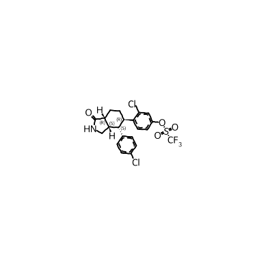 O=C1NC[C@H]2[C@@H](c3ccc(Cl)cc3)[C@H](c3ccc(OS(=O)(=O)C(F)(F)F)cc3Cl)CC[C@@H]12